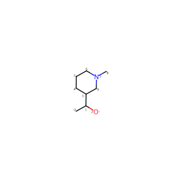 CC([O])C1CCCN(C)C1